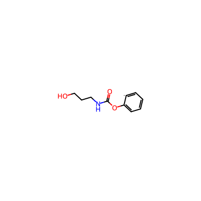 O=C(NCCCO)Oc1[c]cccc1